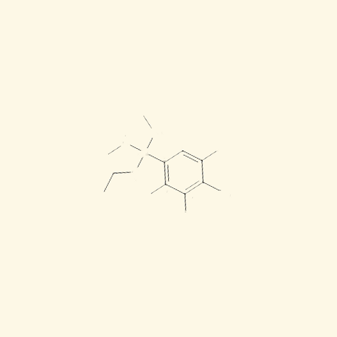 CCO[Si](OC)(OC)c1cc(F)c(F)c(F)c1F